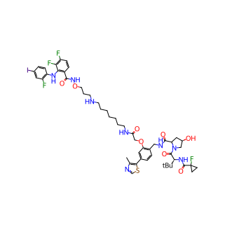 Cc1ncsc1-c1ccc(CNC(=O)C2C[C@@H](O)CN2C(=O)[C@@H](NC(=O)C2(F)CC2)C(C)(C)C)c(OCC(=O)NCCCCCCCNCCCONC(=O)c2ccc(F)c(F)c2Nc2ccc(I)cc2F)c1